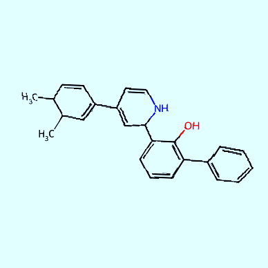 CC1C=CC(C2=CC(c3cccc(-c4ccccc4)c3O)NC=C2)=CC1C